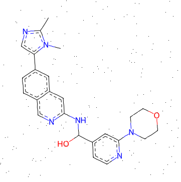 Cc1ncc(-c2ccc3cnc(NC(O)c4ccnc(N5CCOCC5)c4)cc3c2)n1C